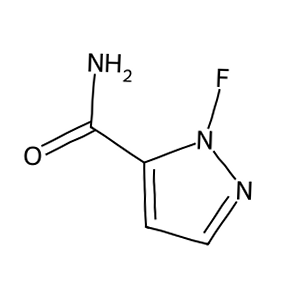 NC(=O)c1ccnn1F